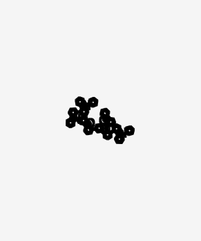 c1ccc(-n2c3ccccc3c3c(-c4cccc5c6ccccc6n(-c6ccc7oc8c(-c9ccc%10c(c9)c9cccc(-c%11cccc%12c%11c%11ccccc%11n%12-c%11ccccc%11)c9n%10-c9cccc%10c9oc9ccccc9%10)cccc8c7c6)c45)cccc32)cc1